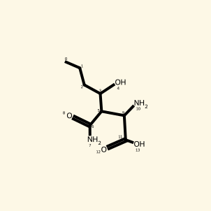 CCCC(O)C(C(N)=O)C(N)C(=O)O